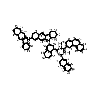 C1=CC2=Cc3c(n(C4=CCC5C=C6C(=CC5=C4)N(C4=CC(C5N=C(C7=Cc8ccccc8CC7)NC(c7ccc8ccc9ccccc9c8c7)N5)C5C=CCCC5=C4)C4CCC=CC64)c4ccccc34)CC2C=C1